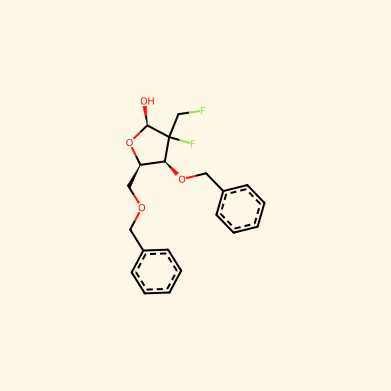 O[C@@H]1O[C@H](COCc2ccccc2)[C@H](OCc2ccccc2)C1(F)CF